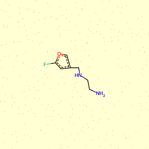 NCCNCc1coc(F)c1